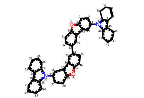 C1=Cc2c(n(-c3ccc4oc5ccc(-c6ccc7oc8ccc(-n9c%10ccccc%10c%10ccccc%109)cc8c7c6)cc5c4c3)c3ccccc23)CC1